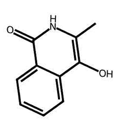 Cc1[nH]c(=O)c2ccccc2c1O